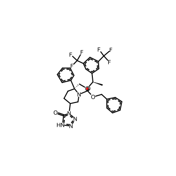 C[C@@H](OC[C@@]1(c2ccccc2)CCC(n2nn[nH]c2=O)CN1C(=O)OCc1ccccc1)c1cc(C(F)(F)F)cc(C(F)(F)F)c1